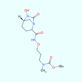 CN(CCCONC(=O)C1CC[C@H]2CN1C(=O)N2O)C(=O)OC(C)(C)C